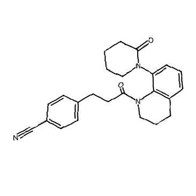 N#Cc1ccc(CCC(=O)N2CCCc3cccc(N4CCCCC4=O)c32)cc1